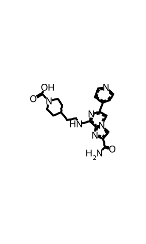 NC(=O)c1cn2cc(-c3ccncc3)nc(NCCC3CCN(C(=O)O)CC3)c2n1